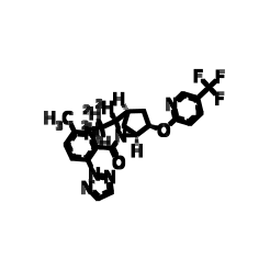 [2H]C([2H])([2H])[C@]1([2H])[C@H]2C[C@@H](Oc3ccc(C(F)(F)F)cn3)[C@H](C2)N1C(=O)c1nc(C)ccc1-n1nccn1